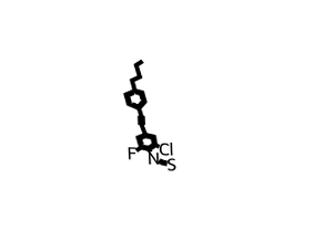 CCCCc1ccc(C#Cc2cc(F)c(N=C=S)c(Cl)c2)cc1